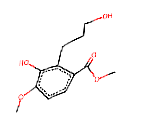 COC(=O)c1ccc(OC)c(O)c1CCCO